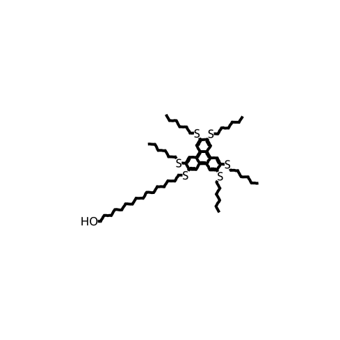 CCCCCCSc1cc2c3cc(SCCCCCC)c(SCCCCCC)cc3c3cc(SCCCCCCCCCCCCCCCCO)c(SCCCCCC)cc3c2cc1SCCCCCC